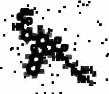 CC(C)(C)OC(=O)N[C@@H]1CCN(c2c(F)cc3c(=O)c(C(=O)NCCCN=C(N)N)cn4c3c2Oc2cc3ccccc3cc2-4)C1